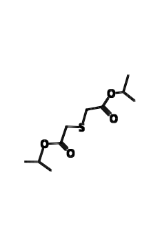 CC(C)OC(=O)CSCC(=O)OC(C)C